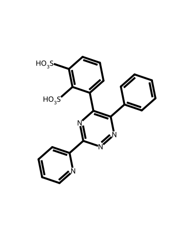 O=S(=O)(O)c1cccc(-c2nc(-c3ccccn3)nnc2-c2ccccc2)c1S(=O)(=O)O